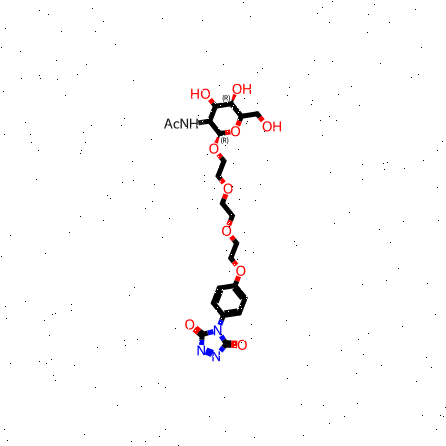 CC(=O)NC1C(O)[C@@H](O)C(CO)O[C@H]1OCCOCCOCCOc1ccc(N2C(=O)N=NC2=O)cc1